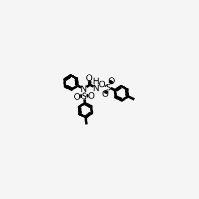 Cc1ccc(S(=O)(=O)ONC(=O)N(c2ccccc2)S(=O)(=O)c2ccc(C)cc2)cc1